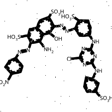 Nc1c(/N=N/c2ccc([N+](=O)[O-])cc2)c(S(=O)(=O)O)cc2cc(S(=O)(=O)O)c(/N=N/c3cc(Nc4nc(Cl)nc(Nc5cccc(S(=O)(=O)O)c5)n4)ccc3S(=O)(=O)O)c(O)c12